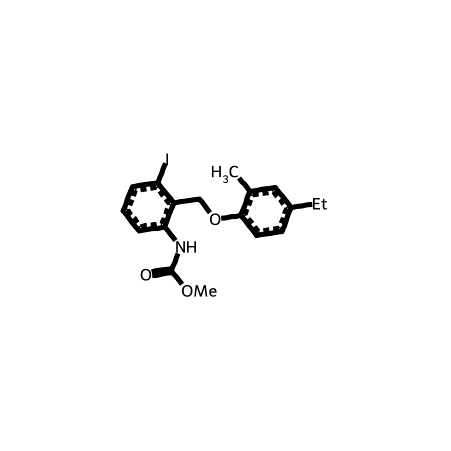 CCc1ccc(OCc2c(I)cccc2NC(=O)OC)c(C)c1